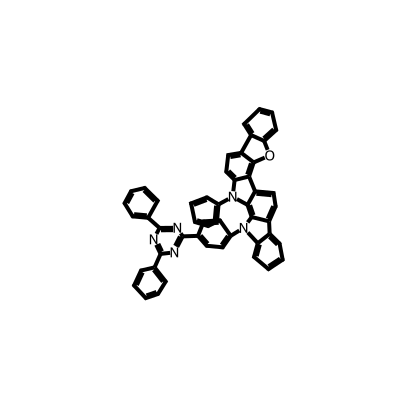 c1ccc(-c2nc(-c3ccccc3)nc(-c3ccc(-n4c5ccccc5c5ccc6c7c8oc9ccccc9c8ccc7n(-c7ccccc7)c6c54)cc3)n2)cc1